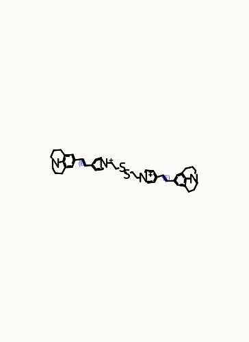 C(=C\c1cc2c3c(c1)CCCN3CCC2)/c1cc[n+](CCSSCC[n+]2ccc(/C=C/c3cc4c5c(c3)CCCN5CCC4)cc2)cc1